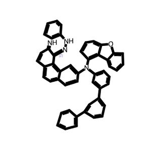 N=C1C=Cc2ccc3ccc(N(c4cccc(-c5cccc(-c6ccccc6)c5)c4)c4cccc5oc6ccccc6c45)cc3c2/C1=N/Nc1ccccc1